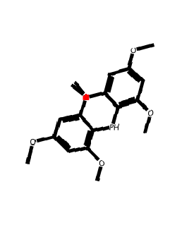 COc1cc(OC)c(Pc2c(OC)cc(OC)cc2OC)c(OC)c1